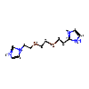 c1cn(CCSCCSCCc2ncc[nH]2)cn1